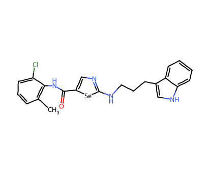 Cc1cccc(Cl)c1NC(=O)c1cnc(NCCCc2c[nH]c3ccccc23)[se]1